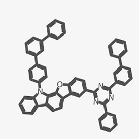 c1ccc(-c2cccc(-c3ccc(-n4c5ccccc5c5ccc6c7cc(-c8nc(-c9ccccc9)nc(-c9cccc(-c%10ccccc%10)c9)n8)ccc7oc6c54)cc3)c2)cc1